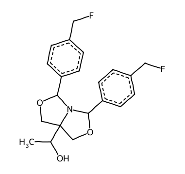 CC(O)C12COC(c3ccc(CF)cc3)N1C(c1ccc(CF)cc1)OC2